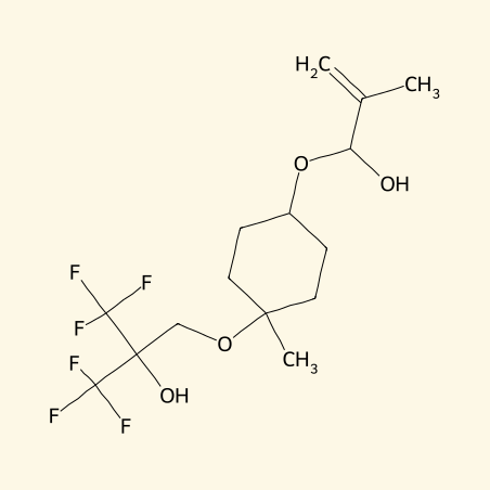 C=C(C)C(O)OC1CCC(C)(OCC(O)(C(F)(F)F)C(F)(F)F)CC1